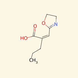 CCCC(=CC1=NCCO1)C(=O)O